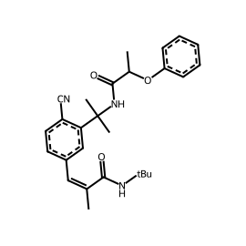 C/C(=C/c1ccc(C#N)c(C(C)(C)NC(=O)C(C)Oc2ccccc2)c1)C(=O)NC(C)(C)C